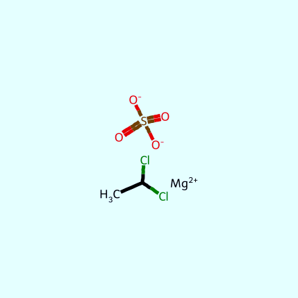 CC(Cl)Cl.O=S(=O)([O-])[O-].[Mg+2]